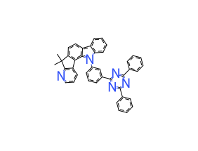 CC1(C)c2ccc3c4ccccc4n(-c4cccc(-c5nc(-c6ccccc6)nc(-c6ccccc6)n5)c4)c3c2-c2cccnc21